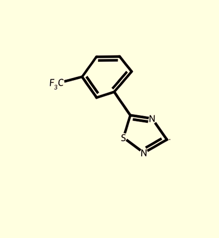 FC(F)(F)c1cccc(-c2n[c]ns2)c1